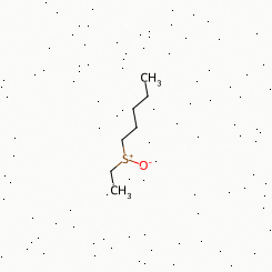 CCCCC[S+]([O-])CC